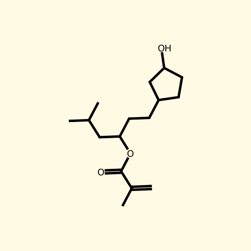 C=C(C)C(=O)OC(CCC1CCC(O)C1)CC(C)C